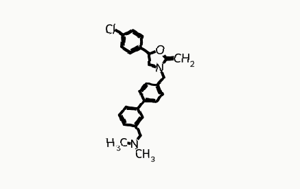 C=C1OC(c2ccc(Cl)cc2)CN1Cc1ccc(-c2cccc(CN(C)C)c2)cc1